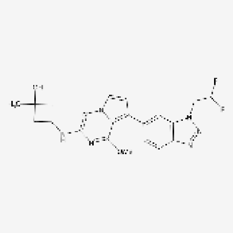 COc1nc(NC2CC(C)(O)C2)nn2ccc(-c3ccc4nnn(CC(F)F)c4c3)c12